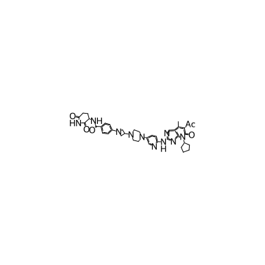 CC(=O)c1c(C)c2cnc(Nc3ccc(N4CCN(C5CN(c6ccc(C(=O)NC7CCC(=O)NC7=O)cc6)C5)CC4)cn3)nc2n(C2CCCC2)c1=O